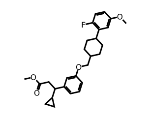 COC(=O)CC(c1cccc(OCC2CCC(c3cc(OC)ccc3F)CC2)c1)C1CC1